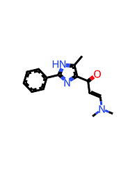 Cc1[nH]c(-c2ccccc2)nc1C(=O)C=CN(C)C